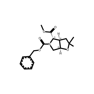 COC(=O)[C@@H]1[C@H]2CC(C)(C)O[C@H]2CN1C(=O)OCc1ccccc1